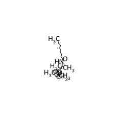 CCCC[CH]CCCCC(=O)NCC(C)(C)CC[Si](OC)(OC)OC